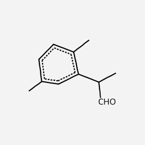 Cc1ccc(C)c(C(C)C=O)c1